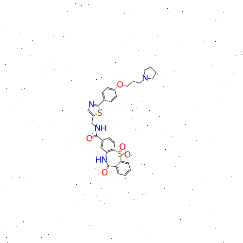 O=C(NCc1cnc(-c2ccc(OCCCN3CCCC3)cc2)s1)c1ccc2c(c1)NC(=O)c1ccccc1S2(=O)=O